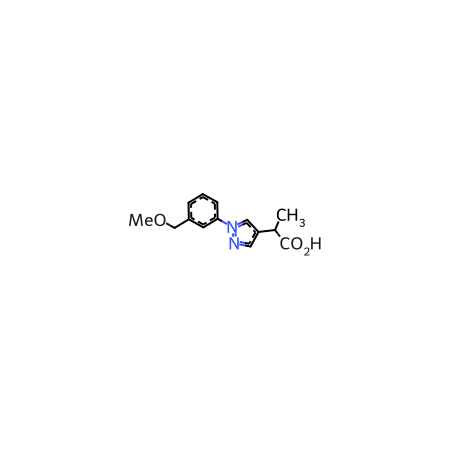 COCc1cccc(-n2cc(C(C)C(=O)O)cn2)c1